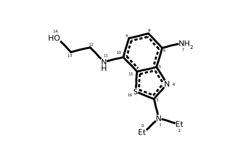 CCN(CC)c1nc2c(N)ccc(NCCO)c2s1